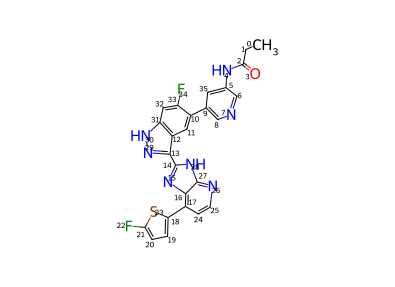 CCC(=O)Nc1cncc(-c2cc3c(-c4nc5c(-c6ccc(F)s6)ccnc5[nH]4)n[nH]c3cc2F)c1